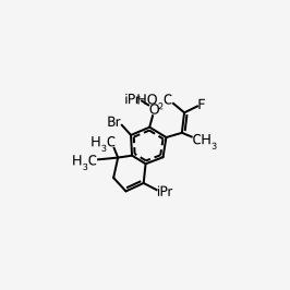 C/C(=C(\F)C(=O)O)c1cc2c(c(Br)c1OC(C)C)C(C)(C)CC=C2C(C)C